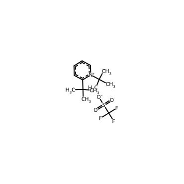 CC(C)(C)c1cccc[n+]1C(C)(C)C.O=S(=O)([O-])C(F)(F)F